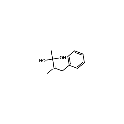 CN(Cc1ccccc1)C(C)(O)O